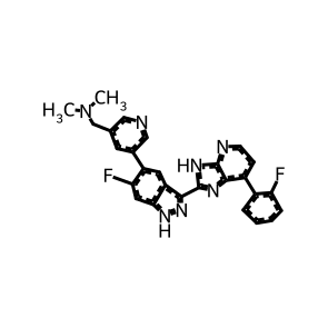 CN(C)Cc1cncc(-c2cc3c(-c4nc5c(-c6ccccc6F)ccnc5[nH]4)n[nH]c3cc2F)c1